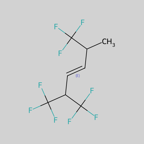 CC(/C=C/C(C(F)(F)F)C(F)(F)F)C(F)(F)F